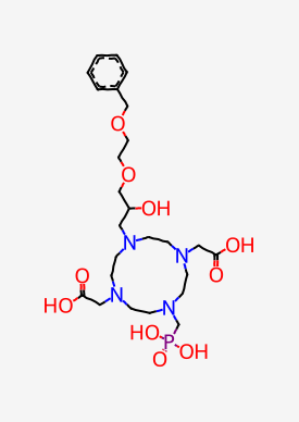 O=C(O)CN1CCN(CC(O)COCCOCc2ccccc2)CCN(CC(=O)O)CCN(CP(=O)(O)O)CC1